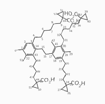 Cc1cc(CCCCCCC2(C(=O)O)CC2)c(CCc2cc(CCCCC3(C(=O)O)CC3)c(C)c(CCCCCCC3(C(=O)O)CC3)c2C)c(CCCCC2(C(=O)O)CC2)c1C